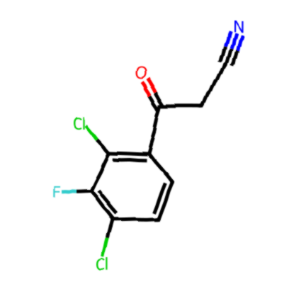 N#CCC(=O)c1ccc(Cl)c(F)c1Cl